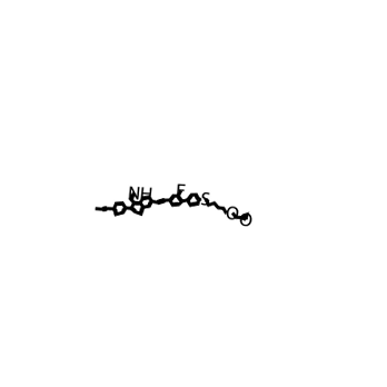 CC#Cc1ccc(-c2ccc3cc(C#Cc4ccc(-c5ccc(SCCCCCOCC6CO6)cc5)c(F)c4)ccc3c2C=N)cc1